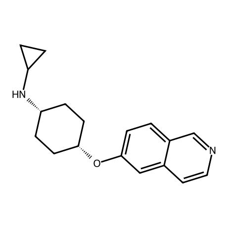 c1cc2cc(O[C@H]3CC[C@@H](NC4CC4)CC3)ccc2cn1